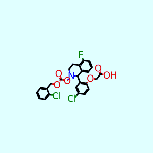 O=C(O)COc1ccc(Cl)cc1C1c2cccc(F)c2CCN1OC(=O)OCc1ccccc1Cl